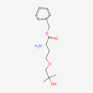 CC(C)(O)COCC[C@H](N)C(=O)OCc1ccccc1